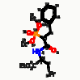 CCOC(=O)[C@H](CC(C)C)NC(=O)C(Cc1ccccc1)P(=O)(OCC)OCC